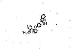 COc1cnccc1-c1nccnc1Oc1ccc(Nc2nc3ccccc3s2)cc1